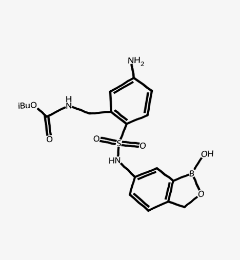 CC(C)COC(=O)NCc1cc(N)ccc1S(=O)(=O)Nc1ccc2c(c1)B(O)OC2